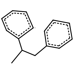 CC(Cc1ccccc1)c1[c]cccc1